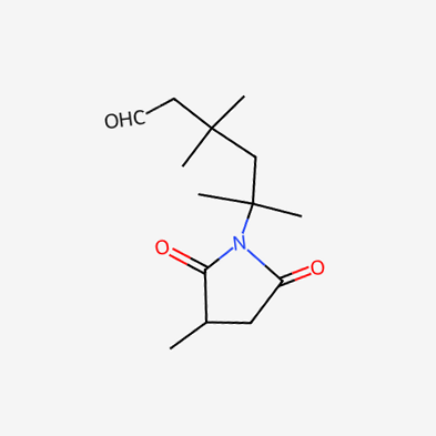 CC1CC(=O)N(C(C)(C)CC(C)(C)CC=O)C1=O